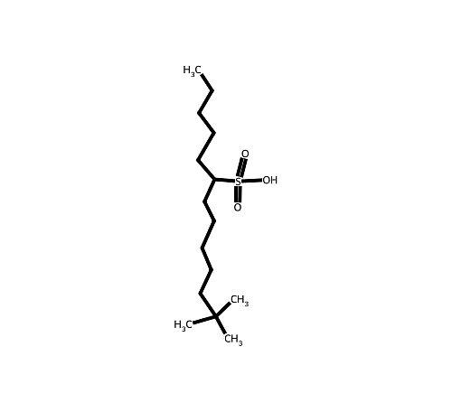 CCCCCC(CCCCCC(C)(C)C)S(=O)(=O)O